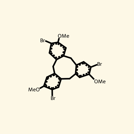 COc1cc2c(cc1Br)Cc1cc(OC)c(Br)cc1Cc1cc(OC)c(Br)cc1C2